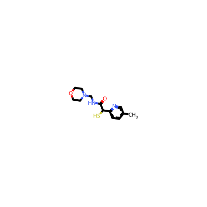 Cc1ccc(C(S)C(=O)NCN2CCOCC2)nc1